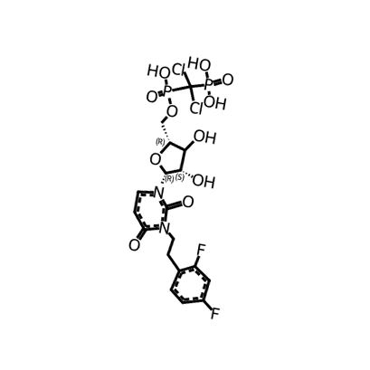 O=c1ccn([C@@H]2O[C@H](COP(=O)(O)C(Cl)(Cl)P(=O)(O)O)C(O)[C@@H]2O)c(=O)n1CCc1ccc(F)cc1F